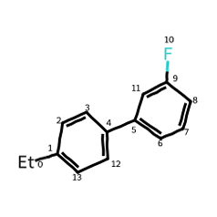 CCc1ccc(-c2cccc(F)c2)cc1